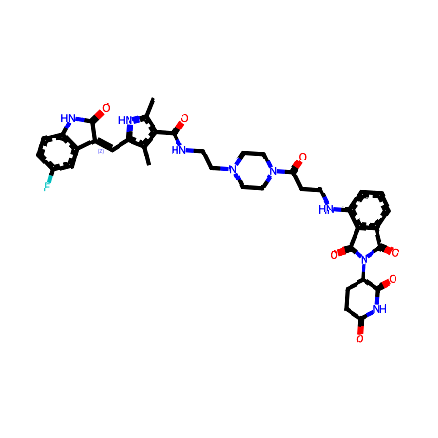 Cc1[nH]c(/C=C2\C(=O)Nc3ccc(F)cc32)c(C)c1C(=O)NCCN1CCN(C(=O)CCNc2cccc3c2C(=O)N(C2CCC(=O)NC2=O)C3=O)CC1